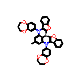 Cc1cc2c3c(c1)N(c1ccc4c(c1)OCCCO4)c1c(oc4ccccc14)B3c1oc3ccccc3c1N2c1ccc2c(c1)OCCCO2